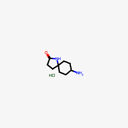 Cl.NC1CCC2(CCC(=O)N2)CC1